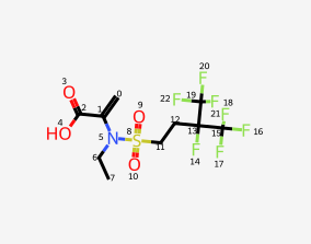 C=C(C(=O)O)N(CC)S(=O)(=O)CCC(F)(C(F)(F)F)C(F)(F)F